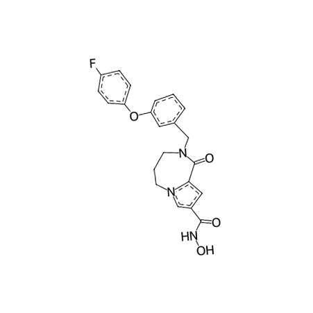 O=C(NO)c1cc2n(c1)CCCN(Cc1cccc(Oc3ccc(F)cc3)c1)C2=O